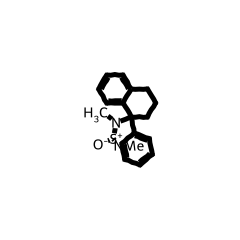 CN[S+]([O-])N(C)C1(c2ccccc2)CCCc2ccccc21